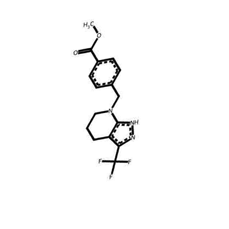 COC(=O)c1ccc(CN2CCCc3c(C(F)(F)F)n[nH]c32)cc1